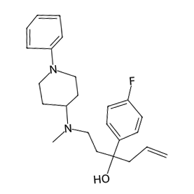 C=CCC(O)(CCN(C)C1CCN(c2ccccc2)CC1)c1ccc(F)cc1